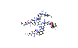 C=CC(=O)Nc1ccnc(-c2c(F)ccc3cnc(Nc4ccc(NC5CN(C(=O)OC(C)(C)C)C5)nc4)nc23)c1.C=CC(=O)Nc1ccnc(-c2c(F)ccc3cnc(Nc4ccc(NC5CN(C)C5)nc4)nc23)c1